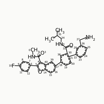 CNC(=O)c1c(-c2ccc(F)cc2)oc2ccc(-c3ccc(-c4cccc(CN)c4)c(C(=O)NCC(C)C)c3)cc12